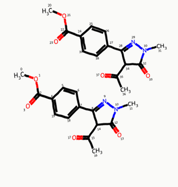 COC(=O)c1ccc(C2=NN(C)C(=O)C2C(C)=O)cc1.COC(=O)c1ccc(C2=NN(C)C(=O)C2C(C)=O)cc1